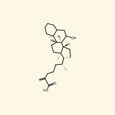 C=C(CCC[C@@H](C)[C@H]1CC[C@H]2[C@@H]3C(O)CC4CCCC[C@]4(C)[C@H]3CC[C@]12C)C(=O)O